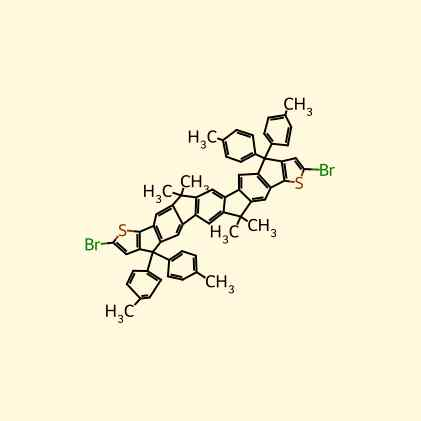 Cc1ccc(C2(c3ccc(C)cc3)c3cc4c(cc3-c3sc(Br)cc32)C(C)(C)c2cc3c(cc2-4)C(C)(C)c2cc4c(cc2-3)C(c2ccc(C)cc2)(c2ccc(C)cc2)c2cc(Br)sc2-4)cc1